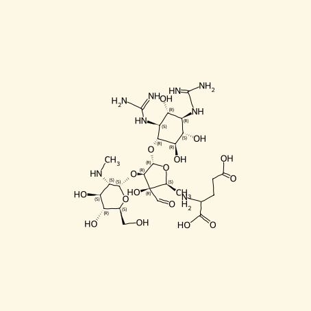 CN[C@@H]1[C@H](O[C@H]2[C@H](O[C@H]3[C@H](O)[C@@H](O)[C@H](NC(=N)N)[C@@H](O)[C@@H]3NC(=N)N)O[C@@H](C)[C@]2(O)C=O)O[C@@H](CO)[C@H](O)[C@H]1O.NC(CCC(=O)O)C(=O)O